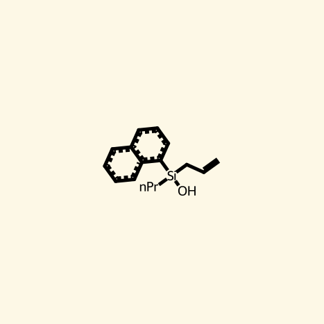 C=CC[Si](O)(CCC)c1cccc2ccccc12